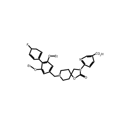 CCOc1cc(CN2CCC3(CC2)CN(c2ccc(C(=O)O)cn2)C(=O)O3)cc(OCC)c1C1=CCC(F)C=C1